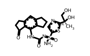 C[C@@](O)(CO)c1ncc(S(N)(=O)=NC(=O)Nc2c3c(cc4c2C(=O)CC4)CCC3)s1